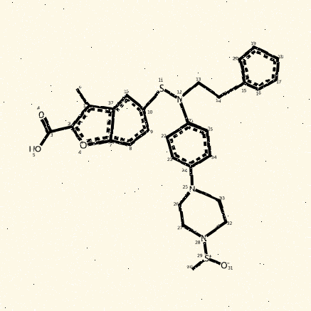 Cc1c(C(=O)O)oc2ccc(SN(CCc3ccccc3)c3ccc(N4CCN([S+](C)[O-])CC4)cc3)cc12